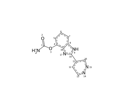 NC(=O)Oc1cccc2[nH]c(-c3ccnnc3)nc12